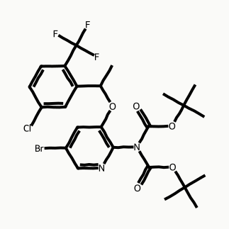 CC(Oc1cc(Br)cnc1N(C(=O)OC(C)(C)C)C(=O)OC(C)(C)C)c1cc(Cl)ccc1C(F)(F)F